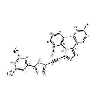 Cc1ccc(-c2nnc(C#Cc3nnc(-c4cc(O)nc(O)c4)o3)n2-c2ccccc2Cl)cn1